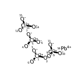 [O-][Cl+2]([O-])[O-].[O-][Cl+2]([O-])[O-].[O-][Cl+2]([O-])[O-].[O-][Cl+2]([O-])[O-].[Pb+4]